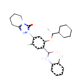 C[C@H](Oc1cc(-n2nc3n(c2=O)CCCC3)c(F)cc1C(O)Nc1ccccc1C(F)(F)F)C1CCCCC1